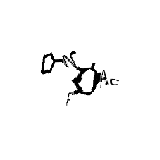 CC(=O)c1cc(F)cc(N(C)C2CCCC2)c1C